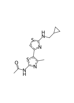 CC(=O)Nc1nc(C)c(-c2csc(NCC3CC3)n2)s1